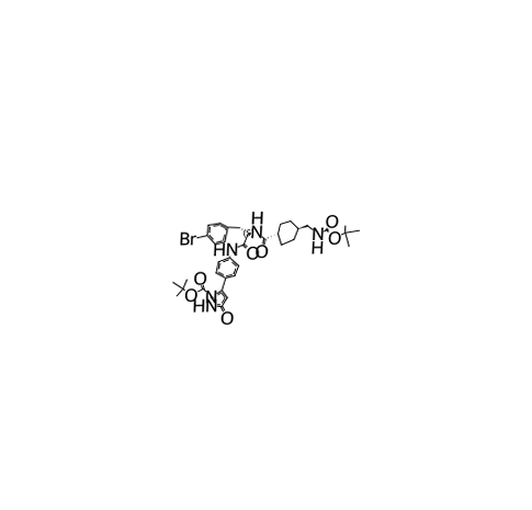 CC(C)(C)OC(=O)NC[C@H]1CC[C@H](C(=O)N[C@@H](Cc2ccc(Br)cc2)C(=O)Nc2ccc(-c3cc(=O)[nH]n3C(=O)OC(C)(C)C)cc2)CC1